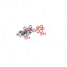 BC(=C)/C(=C(O)\C(B)=C(/C)c1c(B)c(B)c(C)c(O)c1C)N(c1ccc(C2C=CC3=C4c5c(oc6cccc(c56)OOC42)CC3O)cc1)c1ccccc1-c1cccc2ccccc12